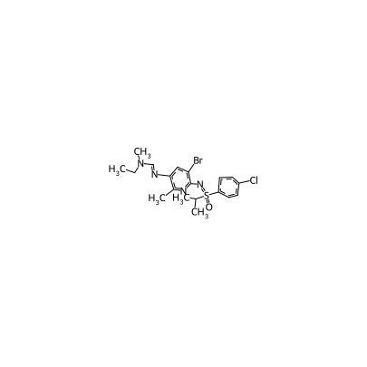 CCN(C)C=Nc1cc(Br)c(N=S(=O)(c2ccc(Cl)cc2)C(C)C)nc1C